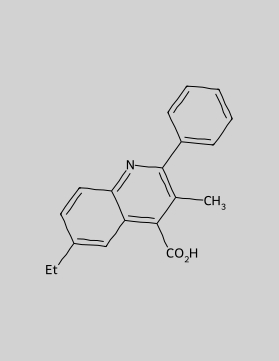 CCc1ccc2nc(-c3ccccc3)c(C)c(C(=O)O)c2c1